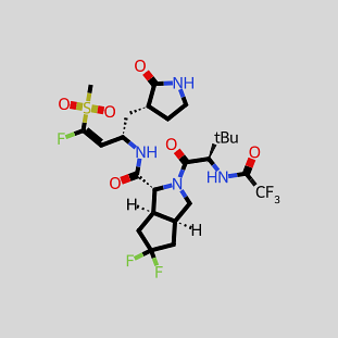 CC(C)(C)[C@@H](NC(=O)C(F)(F)F)C(=O)N1C[C@H]2CC(F)(F)C[C@H]2[C@@H]1C(=O)N[C@H](/C=C(/F)S(C)(=O)=O)C[C@H]1CCNC1=O